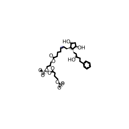 O=C(CCC/C=C\C[C@@H]1[C@@H](CC[C@@H](O)CCc2ccccc2)[C@H](O)C[C@@H]1O)OCC(CO[N+](=O)[O-])OC(=O)CCCO[N+](=O)[O-]